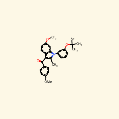 COc1ccc(C(=O)c2c(C)n(-c3cccc(OC(C)(C)C(C)=O)c3)c3cc(OC(F)(F)F)ccc23)cc1